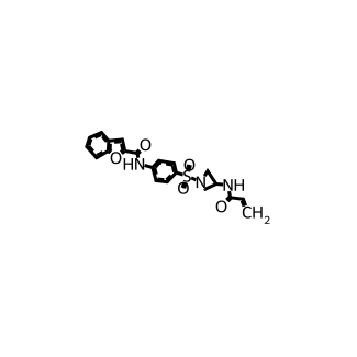 C=CC(=O)NC1CN(S(=O)(=O)c2ccc(NC(=O)c3cc4ccccc4o3)cc2)C1